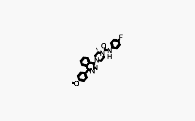 COc1ccc(-c2nnc(N3CCN(C(=O)Nc4ccc(F)cc4)[C@@H](C)C3)c3ccccc23)cc1